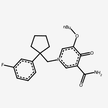 CCCCOc1cn(CC2(c3cccc(F)c3)CCCC2)cc(C(N)=O)c1=O